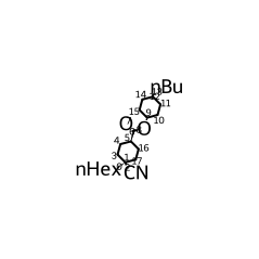 CCCCCC[C@]1(C#N)CC[C@@H](C(=O)O[C@H]2CC[C@H](CCCC)CC2)CC1